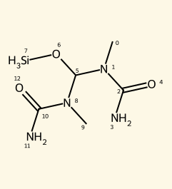 CN(C(N)=O)C(O[SiH3])N(C)C(N)=O